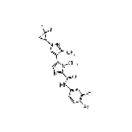 CC(=O)c1ccc(NC(=O)c2ncc(-c3cn(C4CC4(F)F)nc3C(F)(F)F)n2C)cc1Cl